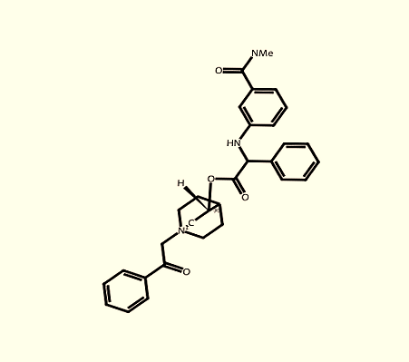 CNC(=O)c1cccc(NC(C(=O)O[C@H]2C[N+]3(CC(=O)c4ccccc4)CCC2CC3)c2ccccc2)c1